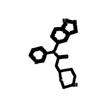 O=C(CC1CCNCC1)N(c1cccnc1)c1ccc2[nH]ncc2c1